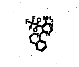 Nc1ncnc(N2CCCc3ccccc32)c1S(=O)(=O)C(F)(F)F